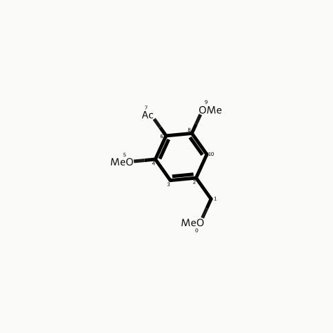 COCc1cc(OC)c(C(C)=O)c(OC)c1